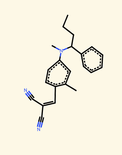 CCCC(c1ccccc1)N(C)c1ccc(C=C(C#N)C#N)c(C)c1